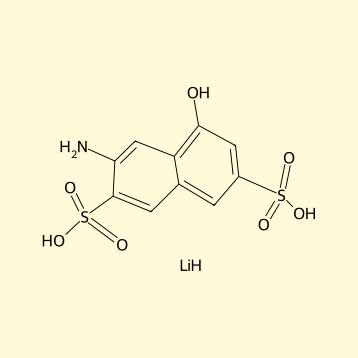 Nc1cc2c(O)cc(S(=O)(=O)O)cc2cc1S(=O)(=O)O.[LiH]